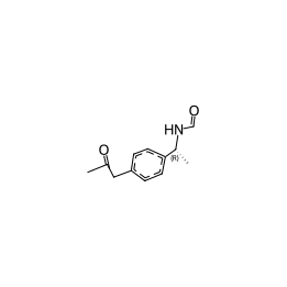 CC(=O)Cc1ccc([C@@H](C)NC=O)cc1